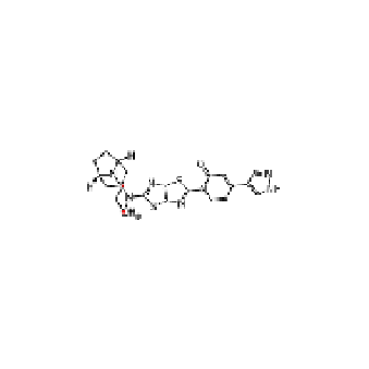 CCCN1[C@@H]2CC[C@H]1CC(N(C)c1nc3sc(-n4ccc(-c5cn[nH]c5)cc4=O)nc3s1)C2